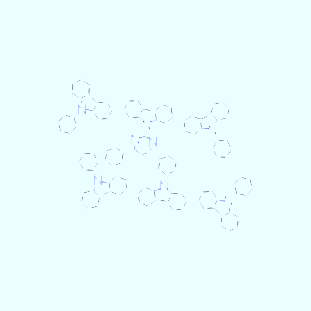 c1ccc(-c2cc(-c3cccc(-n4c5cc(-c6ccc7c(c6)c6ccccc6n7-c6ccccc6)ccc5c5ccc(-c6ccc7c(c6)c6ccccc6n7-c6ccccc6)cc54)c3)nc(-n3c4cc(-c5ccc6c(c5)c5ccccc5n6-c5ccccc5)ccc4c4ccc(-c5ccc6c(c5)c5ccccc5n6-c5ccccc5)cc43)n2)cc1